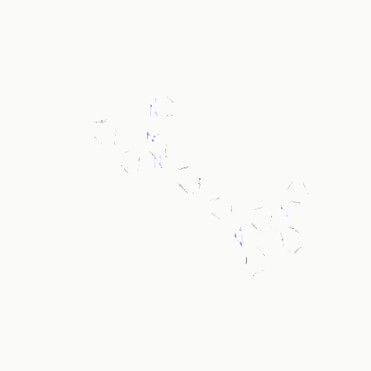 c1ccc(-c2cccc(-c3nc(-c4ccc(-c5ccc(-c6nc7ccccc7c7c6ccc6c7c7ccccc7n6-c6ccccc6)cc5)cc4)cc(-c4ccccn4)n3)c2)cc1